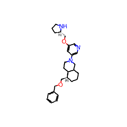 c1ccc(COC[C@@H]2CCCC3CN(c4cncc(OC[C@@H]5CCCN5)c4)CCC32)cc1